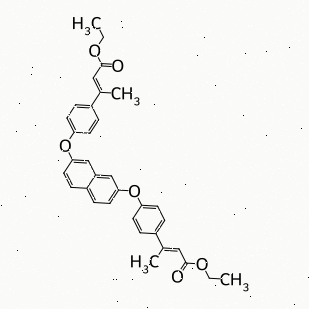 CCOC(=O)C=C(C)c1ccc(Oc2ccc3ccc(Oc4ccc(C(C)=CC(=O)OCC)cc4)cc3c2)cc1